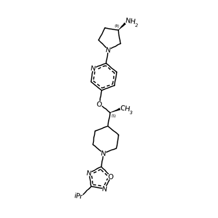 CC(C)c1noc(N2CCC([C@H](C)Oc3ccc(N4CC[C@@H](N)C4)nc3)CC2)n1